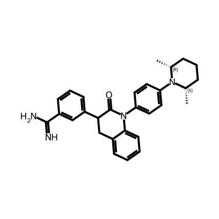 C[C@@H]1CCC[C@H](C)N1c1ccc(N2C(=O)C(c3cccc(C(=N)N)c3)Cc3ccccc32)cc1